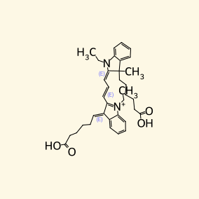 CCN1/C(=C/C=C/C2=[N+](CC)c3ccccc3/C2=C\CCCCC(=O)O)C(C)(CCCCCC(=O)O)c2ccccc21